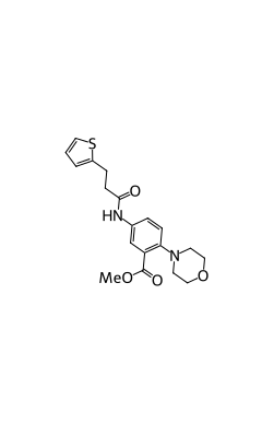 COC(=O)c1cc(NC(=O)CCc2cccs2)ccc1N1CCOCC1